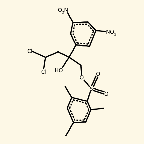 Cc1cc(C)c(S(=O)(=O)OCC(O)(CC(Cl)Cl)c2cc([N+](=O)[O-])cc([N+](=O)[O-])c2)c(C)c1